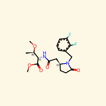 COC(=O)[C@@H](NC(=O)C[C@@H]1CCC(=O)N1Cc1cccc(F)c1F)[C@@H](C)OC